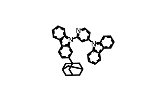 c1ccc2c(c1)c1ccccc1n2-c1ccnc(-n2c3ccccc3c3ccc(C45CC6CC(CC(C6)C4)C5)cc32)c1